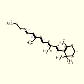 CC(=O)OCC/N=C/C=C(C)/C=C/C=C(C)/C=C/C1=C(C)CCCC1(C)C